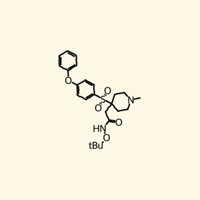 CN1CCC(CC(=O)NOC(C)(C)C)(S(=O)(=O)c2ccc(Oc3ccccc3)cc2)CC1